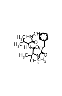 CNC(=O)[C@@H](NC(=O)[C@H](C(C)C)N(C)C(=O)OCc1ccccc1)C(C)C